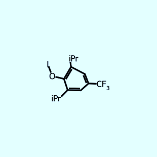 CC(C)c1cc(C(F)(F)F)cc(C(C)C)c1OI